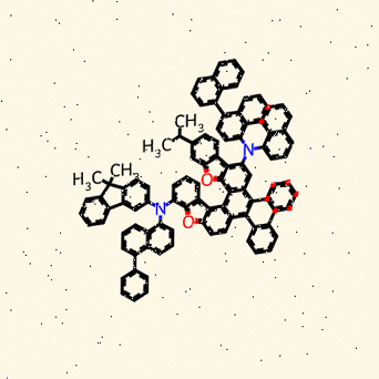 CC(C)c1ccc2c(c1)oc1c2c(N(c2cccc3ccccc23)c2ccc(-c3cccc4ccccc34)c3ccccc23)cc2c(-c3ccccc3)c(-c3ccccc3-c3ccccc3)c3ccc4oc5c(N(c6ccc7c(c6)-c6ccccc6C7(C)C)c6cccc7c(-c8ccccc8)cccc67)cccc5c4c3c21